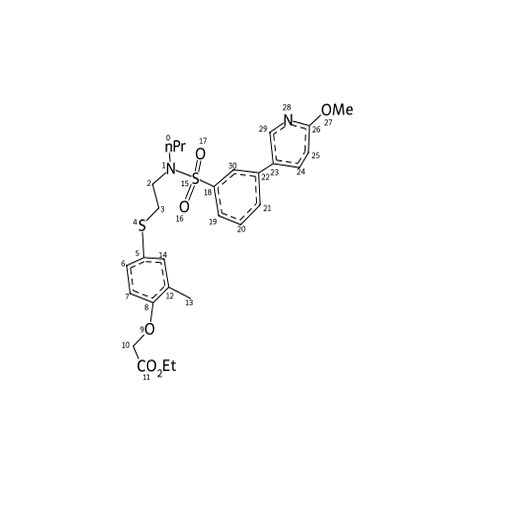 CCCN(CCSc1ccc(OCC(=O)OCC)c(C)c1)S(=O)(=O)c1cccc(-c2ccc(OC)nc2)c1